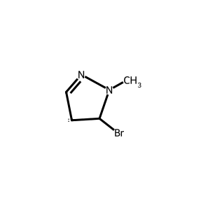 CN1N=C[C]C1Br